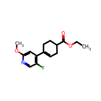 CCOC(=O)C1CC=C(c2cc(OC)ncc2F)CC1